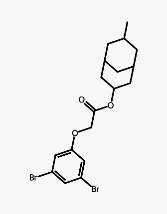 CC1CC2CC(C1)CC(OC(=O)COc1cc(Br)cc(Br)c1)C2